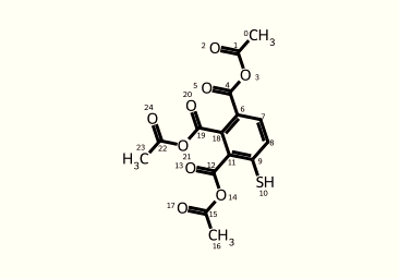 CC(=O)OC(=O)c1ccc(S)c(C(=O)OC(C)=O)c1C(=O)OC(C)=O